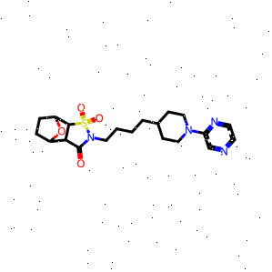 O=C1C2C3CCC(O3)C2S(=O)(=O)N1CCCCC1CCN(c2cnccn2)CC1